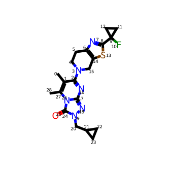 Cc1c(N2CCc3nc(C4(F)CC4)sc3C2)nc2nn(CC3CC3)c(=O)n2c1C